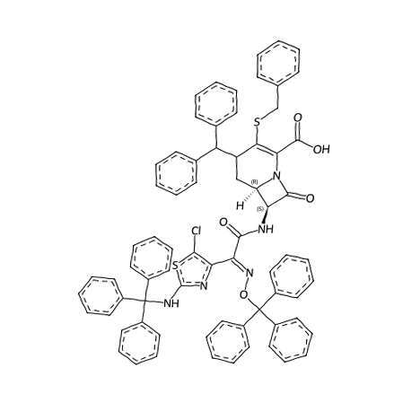 O=C(O)C1=C(SCc2ccccc2)C(C(c2ccccc2)c2ccccc2)C[C@@H]2[C@H](NC(=O)C(=NOC(c3ccccc3)(c3ccccc3)c3ccccc3)c3nc(NC(c4ccccc4)(c4ccccc4)c4ccccc4)sc3Cl)C(=O)N12